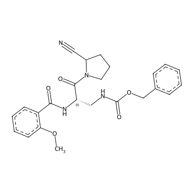 COc1ccccc1C(=O)N[C@@H](CNC(=O)OCc1ccccc1)C(=O)N1CCCC1C#N